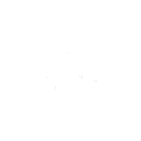 CCC(C)N1C[C@H]2CCC[C@H]2C1